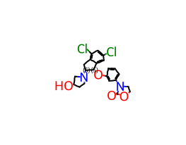 O=C1OCCN1c1cccc(O[C@H]2c3cc(Cl)cc(Cl)c3C[C@@H]2N2CCC(O)C2)c1